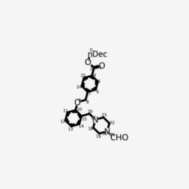 CCCCCCCCCCOC(=O)c1ccc(COc2ccccc2CN2CCN(C=O)CC2)cc1